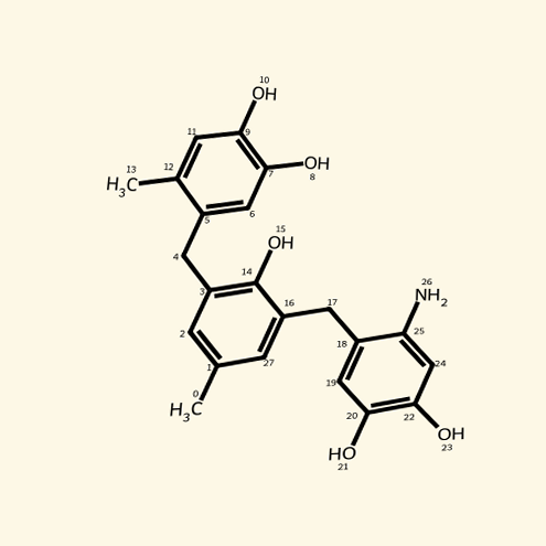 Cc1cc(Cc2cc(O)c(O)cc2C)c(O)c(Cc2cc(O)c(O)cc2N)c1